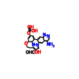 Nc1cnnc2cc(-c3cc(OB(O)O)cc4c3-n3nccc3CCO4)ccc12.O=CO